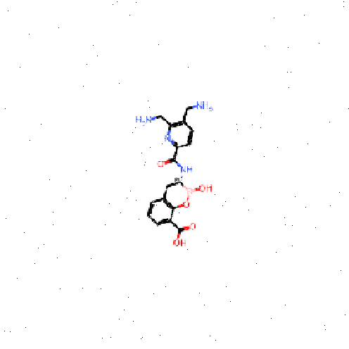 NCc1ccc(C(=O)N[C@H]2Cc3cccc(C(=O)O)c3OB2O)nc1CN